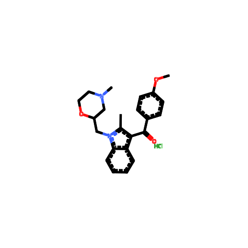 COc1ccc(C(=O)c2c(C)n(CC3CN(C)CCO3)c3ccccc23)cc1.Cl